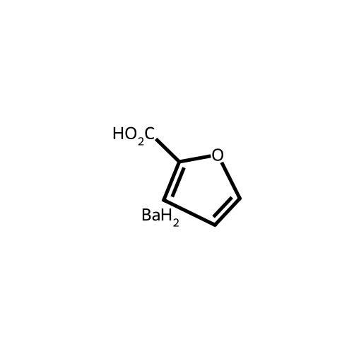 O=C(O)c1ccco1.[BaH2]